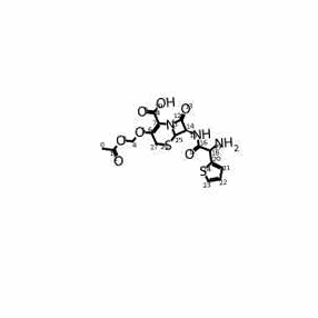 CC(=O)OCOC1=C(C(=O)O)N2C(=O)[C@@H](NC(=O)C(N)c3cccs3)C2SC1